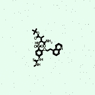 CNC(=S)Nc1ccc(S(=O)(=O)NC(C(N)=O)C(C)C(=O)OC(C)(C)C)c(OCCc2cccc3ncccc23)c1